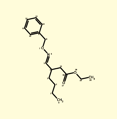 CCCCC(/C=N/OCc1ccccc1)CC(=O)OCC